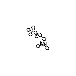 c1ccc(-c2cc(-c3ccccc3)nc(-c3cccc(-c4ccc5c(c4)oc4cc6c(cc45)-c4ccccc4C6(c4ccccc4)c4ccccc4)c3)n2)cc1